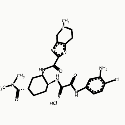 CN1CCc2nc(C(=O)N[C@@H]3C[C@@H](C(=O)N(C)C)CC[C@@H]3NC(=S)C(=O)Nc3ccc(Cl)c(N)c3)sc2C1.Cl